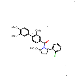 COc1ccc(-c2ccc(C(=O)N3[C@@H](c4ccccc4Cl)CC[C@H]3C(=O)O)cc2OC)cc1OC